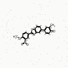 COc1ccc(-c2nc3cc(-c4ccc(Cl)c(C)c4)ccc3o2)cc1[N+](=O)[O-]